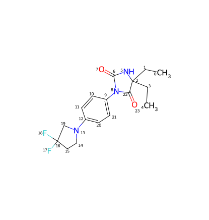 CCC1(CC)NC(=O)N(c2ccc(N3CCC(F)(F)C3)cc2)C1=O